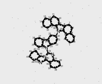 c1ccc2c(c1)ccc1c3ccc4ccccc4c3n(-c3ccc4c(c3)c3ccccc3n4-c3nc4ccccc4c4nc5ccccc5n34)c21